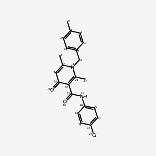 Cc1ccc(Cn2c(C)cc(=O)c(C(=O)Nc3ccc(Cl)cc3)c2C)cc1